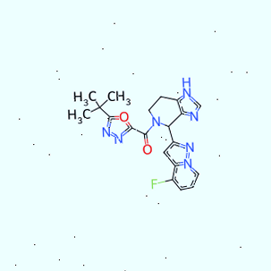 CC(C)(C)c1nnc(C(=O)N2CCc3[nH]cnc3C2c2cc3c(F)cccn3n2)o1